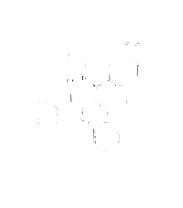 Cc1ccsc1CC(=O)N(c1c(C(=O)N2CCCC2)nc2cc(Cl)ccc2c1O)N(C=O)OC(C)(C)C